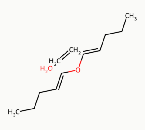 C=C.CCCC=COC=CCCC.O